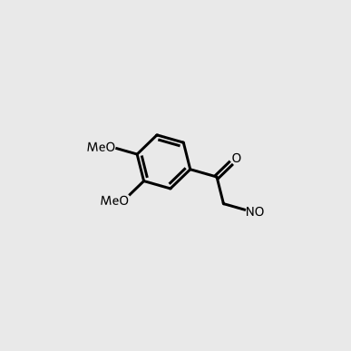 COc1ccc(C(=O)CN=O)cc1OC